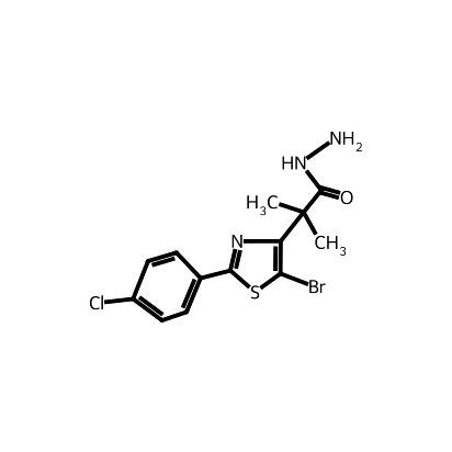 CC(C)(C(=O)NN)c1nc(-c2ccc(Cl)cc2)sc1Br